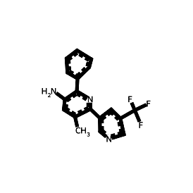 Cc1cc(N)c(-c2ccccc2)nc1-c1cncc(C(F)(F)F)c1